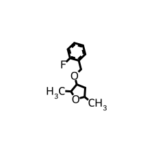 CC1CC(OCc2ccccc2F)C(C)O1